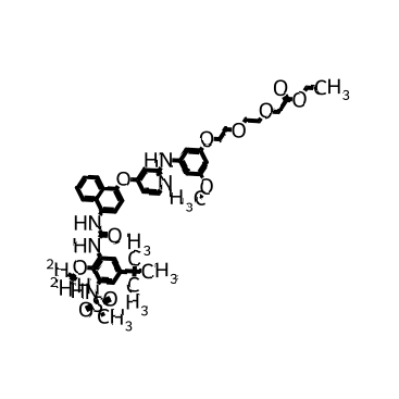 [2H]C([2H])([2H])Oc1c(NC(=O)Nc2ccc(Oc3ccnc(Nc4cc(OC)cc(OCCOCCOCC(=O)OCC)c4)c3)c3ccccc23)cc(C(C)(C)C)cc1NS(C)(=O)=O